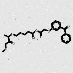 COCC(=O)C(C)OCCCCC(N)OC(=O)COc1cccc(C(=O)c2ccccc2)c1